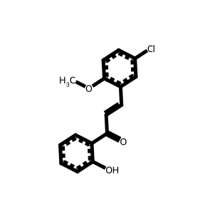 COc1ccc(Cl)cc1C=CC(=O)c1ccccc1O